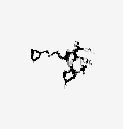 CC(=O)c1cc(CCOCc2ccccc2)n(-c2ccc(F)cc2C(F)(F)F)c1C